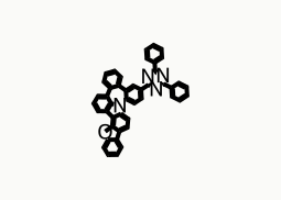 c1ccc(-c2nc(-c3ccccc3)nc(-c3ccc4c(c3)-c3ccccc3-c3cccc5c6c7oc8ccccc8c7ccc6n-4c35)n2)cc1